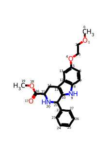 COCCOc1ccc2[nH]c3c(c2c1)CC(C(=O)OC)NC3c1ccccc1